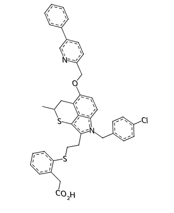 CC1Cc2c(OCc3ccc(-c4ccccc4)cn3)ccc3c2c(c(CCSc2ccccc2CC(=O)O)n3Cc2ccc(Cl)cc2)S1